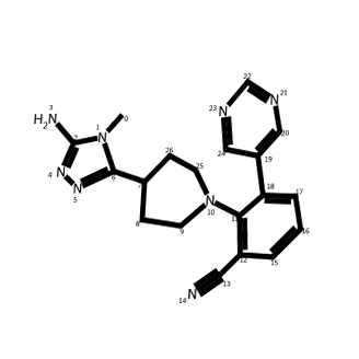 Cn1c(N)nnc1C1CCN(c2c(C#N)cccc2-c2cncnc2)CC1